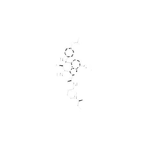 CCC(=O)N1CCCC(NC(=O)c2sc3c(N)ccc4c3c2C(N)C(=O)C4(N)c2ccc(OC(C)C)cc2)C1